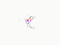 COC(=O)c1ccc2c(c1)N(Cc1cc(F)cc(F)c1)S(=O)(=O)N(C)C2